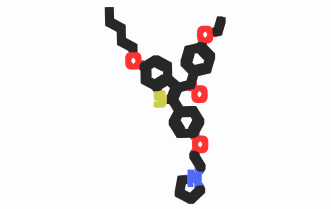 CCCCCOc1ccc2c(C(=O)c3ccc(OCC)cc3)c(-c3ccc(OCCN4CCCC4)cc3)sc2c1